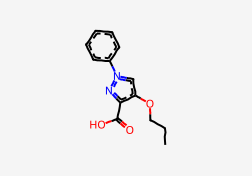 CCCOc1cn(-c2ccccc2)nc1C(=O)O